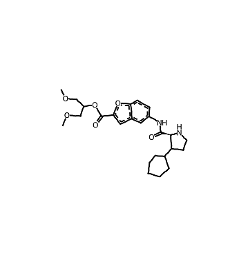 COCC(COC)OC(=O)c1cc2cc(NC(=O)[C@H]3NCCC3C3CCCCC3)ccc2o1